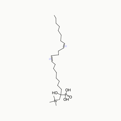 CCCCCCC/C=C\CC/C=C\CCCCCCCC(O)(C[N+](C)(C)C)P(=O)(O)O